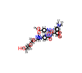 CCOC(=O)c1ccc(NC(=O)OC(CNC(=O)c2ccc(-n3cc(COC(C)(C)COC(C)(C)C(C)(C)C(C)O)nn3)cc2)c2cc(=O)oc3cc(N(CC)CC)ccc23)cc1